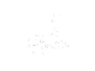 COC(=O)[C@H](Cc1ccccc1)NC(=O)[C@@H](N)CC(=O)O.OCC(O)CO.OCC(O)CO.OC[C@@H](O)[C@@H](O)[C@H](O)[C@H](O)CO